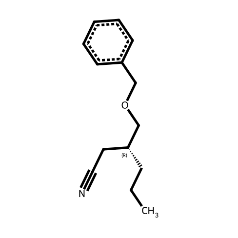 CCC[C@H](CC#N)COCc1ccccc1